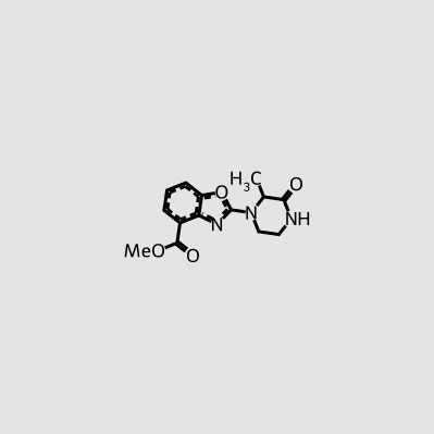 COC(=O)c1cccc2oc(N3CCNC(=O)C3C)nc12